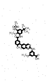 COc1cc(Nc2ncc3cc(-c4cc(C(=O)Nc5cc(C(C)(C)C)cc(NS(C)(=O)=O)c5OC)ccc4C)ccc3n2)cc(C(=O)O)c1